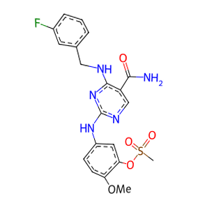 COc1ccc(Nc2ncc(C(N)=O)c(NCc3cccc(F)c3)n2)cc1OS(C)(=O)=O